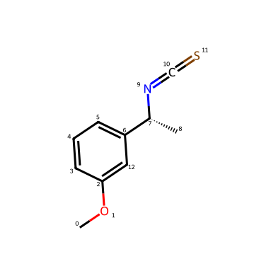 COc1cccc([C@@H](C)N=C=S)c1